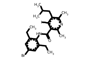 CCc1cc(Br)cc(CC)c1NC(=O)c1c(C)nc(C)c(CC(C)C)c1I